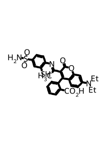 CCN(CC)c1ccc2c(-c3ccccc3C(=O)O)c(/C(C)=N/c3ccc(S(N)(=O)=O)cc3S)c(=O)oc2c1